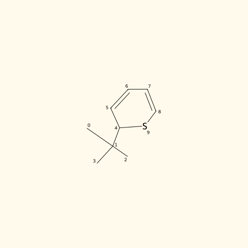 CC(C)(C)C1C=CC=CS1